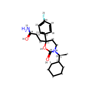 C[C@@H](C1CCCCC1)N1CCC(CCC(N)=O)(c2ccc(F)cc2)OC1=O